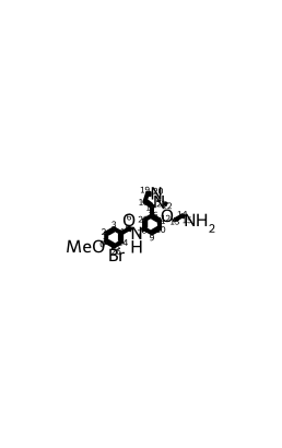 COc1ccc(C(=O)Nc2ccc(OCCN)c(-c3ccnn3C)c2)cc1Br